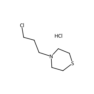 Cl.ClCCCN1CCSCC1